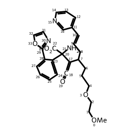 COCCOCCCC(CC=Cc1cccnc1)C(=C=O)C(N)(C(=O)O)c1ccccc1-c1ncco1